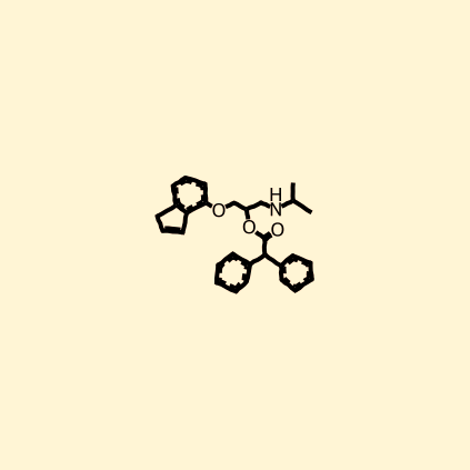 CC(C)NCC(COc1cccc2c1C=CC2)OC(=O)C(c1ccccc1)c1ccccc1